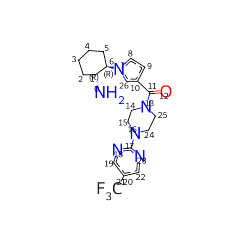 N[C@@H]1CCCC[C@H]1n1ccc(C(=O)N2CCN(c3ncc(C(F)(F)F)cn3)CC2)c1